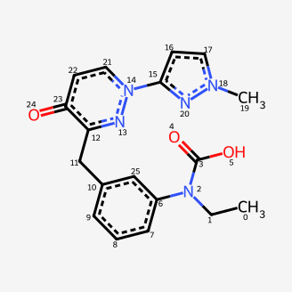 CCN(C(=O)O)c1cccc(Cc2nn(-c3ccn(C)n3)ccc2=O)c1